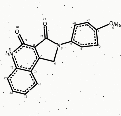 COc1ccc(N2Cc3c(c(=O)[nH]c4ccccc34)C2=O)cc1